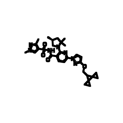 Cc1nn(C)cc1S(=O)(=O)NC(=O)c1ccc(-n2ccc(OCC3C4(CC4)C34CC4)n2)nc1N1C[C@@H](C)CC1(C)C